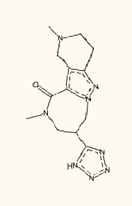 CN1CCc2nn3c(c2C1)C(=O)N(C)CC(c1nnn[nH]1)C3